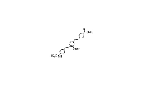 COC(=O)c1ccc(C=Cc2ccc(C=Cc3ccc(NC(=O)O)cc3)c(OC)c2)cc1